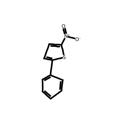 O=[N+]([O-])c1ccc(-c2ccccc2)s1